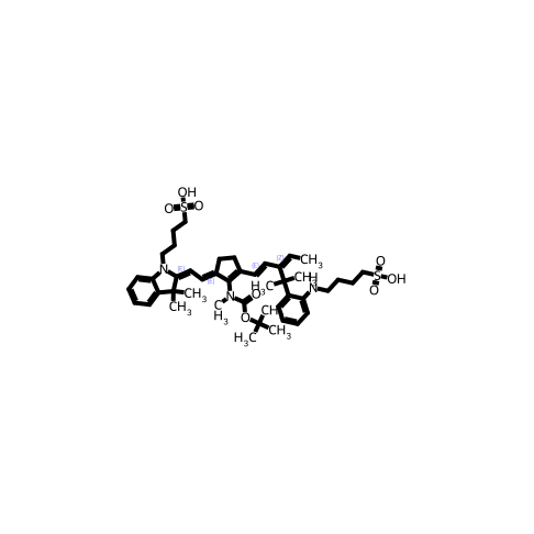 C/C=C(/C=C/C1=C(N(C)C(=O)OC(C)(C)C)C(=C/C=C2/N(CCCCS(=O)(=O)O)c3ccccc3C2(C)C)/CC1)C(C)(C)c1ccccc1NCCCCS(=O)(=O)O